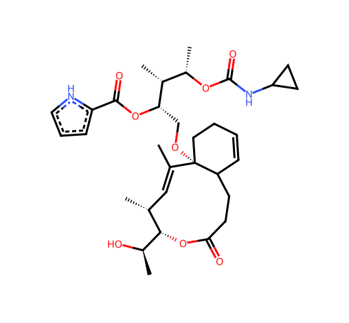 C/C1=C\[C@@H](C)[C@@H]([C@@H](C)O)OC(=O)CCC2C=CCC[C@]12OC[C@H](OC(=O)c1ccc[nH]1)[C@H](C)[C@H](C)OC(=O)NC1CC1